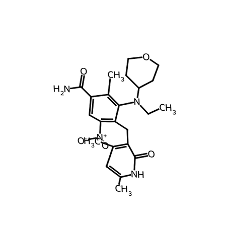 CCN(c1c(C)c(C(N)=O)cc([N+](=O)[O-])c1Cc1c(C)cc(C)[nH]c1=O)C1CCOCC1